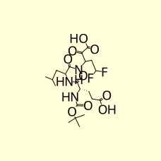 CC(C)CC(NC(=O)[C@H](CCC(=O)O)NC(=O)OC(C)(C)C)C(=O)NC(CC(F)F)C(=O)C(=O)O